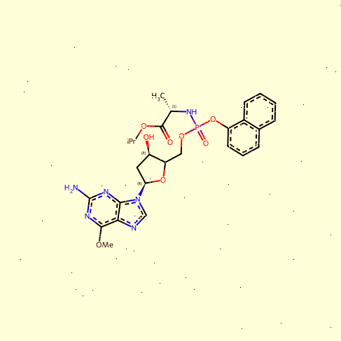 COc1nc(N)nc2c1ncn2[C@H]1C[C@@H](O)C(COP(=O)(N[C@@H](C)C(=O)OC(C)C)Oc2cccc3ccccc23)O1